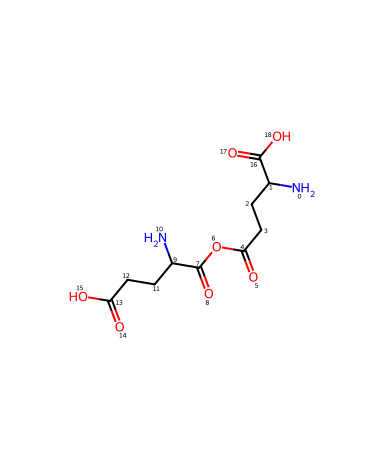 NC(CCC(=O)OC(=O)C(N)CCC(=O)O)C(=O)O